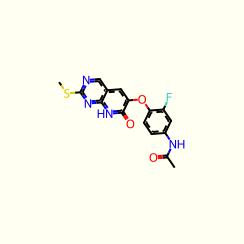 CSc1ncc2cc(Oc3ccc(NC(C)=O)cc3F)c(=O)[nH]c2n1